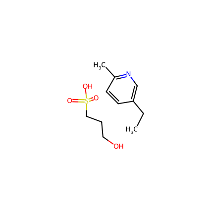 CCc1ccc(C)nc1.O=S(=O)(O)CCCO